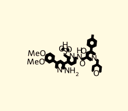 COc1ccc(-c2cnc(N)c(-c3ccc(NC(=O)c4cn(CC5CCOCC5)cc(-c5ccc(C)cc5)c4=O)nc3C[SH](=O)=O)c2)cc1OC